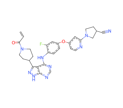 C=CC(=O)N1CCC(c2n[nH]c3ncnc(Nc4ccc(Oc5ccnc(N6CCC(C#N)C6)c5)cc4F)c23)CC1